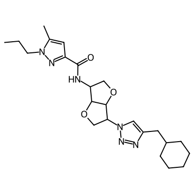 CCCn1nc(C(=O)NC2COC3C2OCC3n2cc(CC3CCCCC3)nn2)cc1C